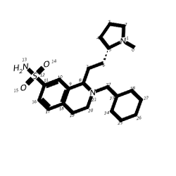 CN1CCC[C@H]1CCC1c2cc(S(N)(=O)=O)ccc2CCN1CC1CCCCC1